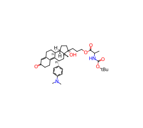 CC(NC(=O)OC(C)(C)C)C(=O)OCCC[C@]1(O)CC[C@H]2[C@@H]3CCC4=CC(=O)CCC4=C3[C@@H](c3ccc(N(C)C)cc3)C[C@]21C